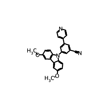 COc1ccc2c(c1)c1cc(OC)ccc1n2-c1cc(C#N)cc(-c2ccncc2)c1